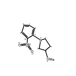 COC1CCN(c2ccccc2[SH](=O)=O)C1